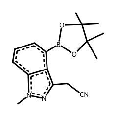 Cn1nc(CC#N)c2c(B3OC(C)(C)C(C)(C)O3)cccc21